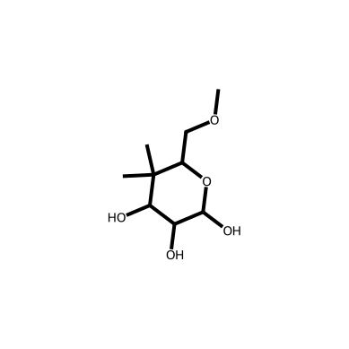 COCC1OC(O)C(O)C(O)C1(C)C